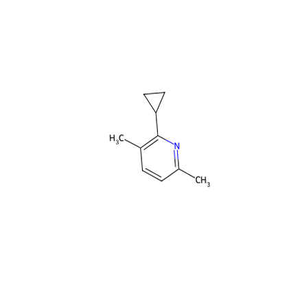 Cc1ccc(C)c(C2CC2)n1